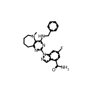 CN1CCCCc2nc(-n3ncc4c(C(N)=O)cc(F)cc43)nc(NCc3ccccc3)c21